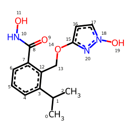 CC(C)c1cccc(C(=O)NO)c1COc1ccn(O)n1